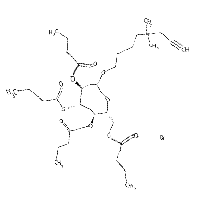 C#CC[N+](C)(C)CCCCOC1O[C@H](COC(=O)CCC)[C@@H](OC(=O)CCC)[C@H](OC(=O)CCC)[C@H]1OC(=O)CCC.[Br-]